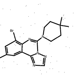 Cc1cc(Br)c2nc(N3CCC(C)(C)CC3)n3ncnc3c2c1